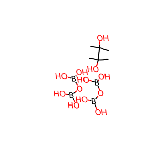 CC(C)(O)C(C)(C)O.OB(O)OB(O)O.OB(O)OB(O)O